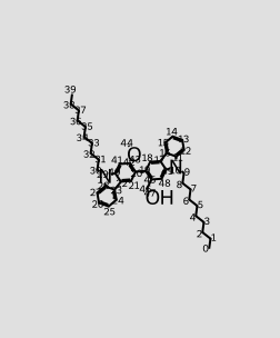 CCCCCCCCCCn1c2ccccc2c2cc(-c3cc4c5ccccc5n(CCCCCCCCCC)c4cc3OC)c(CO)cc21